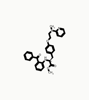 COC(=O)[C@H](Cc1ccc(OCCN(C)c2ccccn2)cc1)Nc1ccccc1C(=O)c1ccccc1